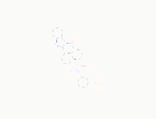 O=C(O)c1ccc(Cl)c(N2C(=O)c3ccc4c(=O)n5c6ccccc6nc5c5ccc(c3c45)C2=O)c1